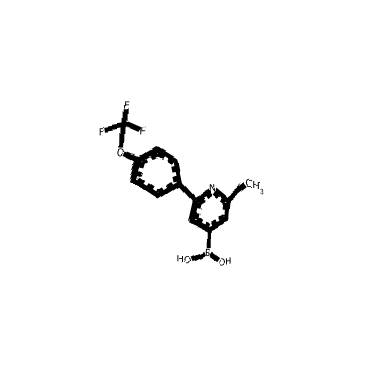 Cc1cc(B(O)O)cc(-c2ccc(OC(F)(F)F)cc2)n1